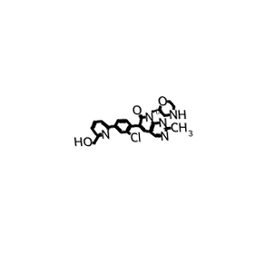 Cc1ncc2cc(-c3ccc(-c4cccc(CO)n4)cc3Cl)c(=O)n(C[C@@H]3CNCCO3)c2n1